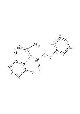 Cc1cccc(Cl)c1N(C(=N)N)C(=S)NCc1ccccc1